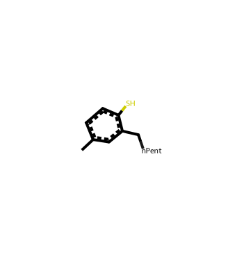 CCCCCCc1cc(C)ccc1S